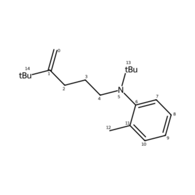 C=C(CCCN(c1ccccc1C)C(C)(C)C)C(C)(C)C